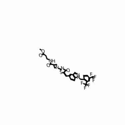 COC(=O)CCNC(=O)C1CN(C2=NC(=O)C(=Cc3ccc4c(cnn4Cc4ccc(C(F)(F)F)cc4C(F)(F)F)c3)S2)C1